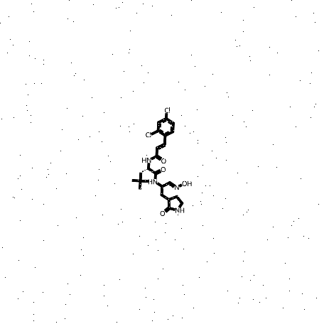 CC(C)(C)C[C@H](NC(=O)/C=C/c1ccc(Cl)cc1Cl)C(=O)NC(C=NO)CC1CCNC1=O